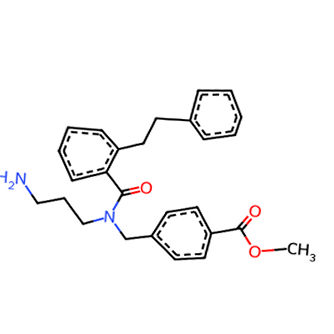 COC(=O)c1ccc(CN(CCCN)C(=O)c2ccccc2CCc2ccccc2)cc1